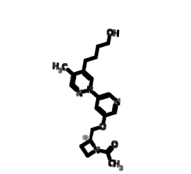 CC(=O)N1CC[C@H]1COc1cncc(N2C=C(CCCCO)C(C)=C=N2)c1